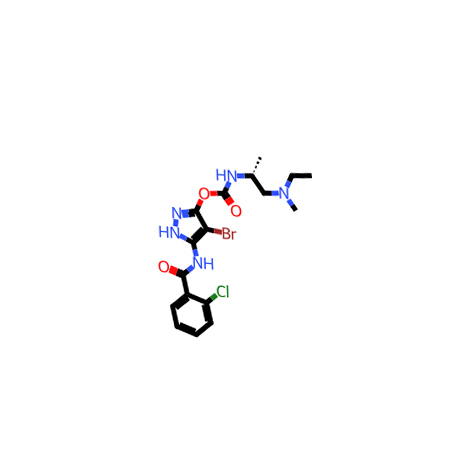 CCN(C)C[C@@H](C)NC(=O)Oc1n[nH]c(NC(=O)c2ccccc2Cl)c1Br